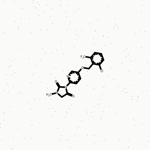 CN1CC(=O)N(c2ccc(OCc3c(Cl)cccc3C(F)(F)F)cn2)C1=O